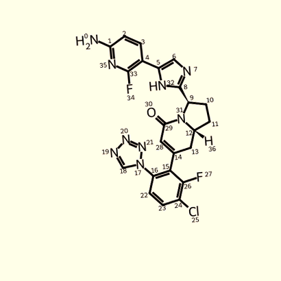 Nc1ccc(-c2cnc([C@H]3CC[C@@H]4CC(c5c(-n6cnnn6)ccc(Cl)c5F)=CC(=O)N43)[nH]2)c(F)n1